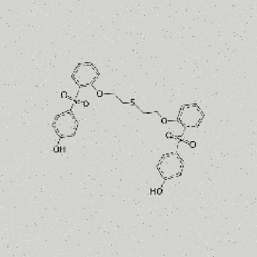 O=S(=O)(c1ccc(O)cc1)c1ccccc1OCCSCCOc1ccccc1S(=O)(=O)c1ccc(O)cc1